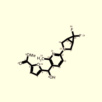 COC(=O)c1ccc(C(O)c2ccc(N3CC4C(C3)C4(F)F)nc2C)o1